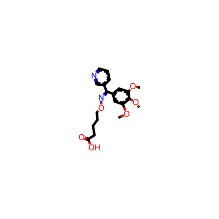 COc1cc(/C(=N\OCCCCC(=O)O)c2cccnc2)cc(OC)c1OC